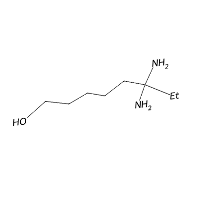 CCC(N)(N)CCCCCO